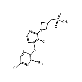 CS(=O)(=O)CC1CN(c2nccc(Sc3ncc(Cl)nc3N)c2Cl)C1